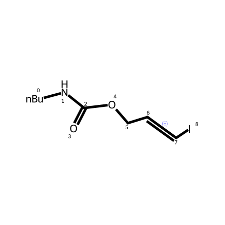 CCCCNC(=O)OC/C=C/I